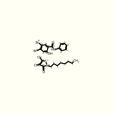 CCCCCCCCn1sc(Cl)c(Cl)c1=O.O=C(Nc1ccccc1)c1cc(Br)c(Br)cc1O